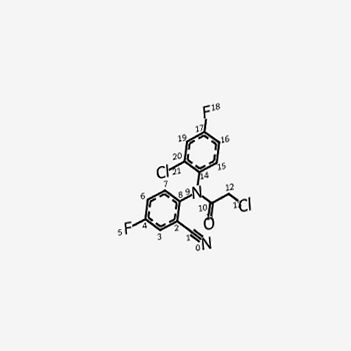 N#Cc1cc(F)ccc1N(C(=O)CCl)c1ccc(F)cc1Cl